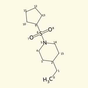 CCC1CCN(S(=O)(=O)C2CCCC2)CC1